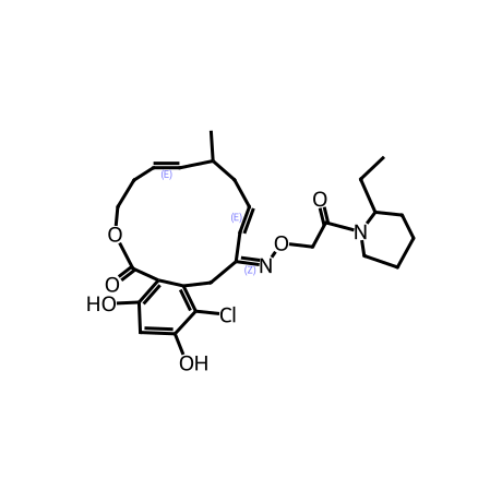 CCC1CCCCN1C(=O)CO/N=C1\C=C\CC(C)/C=C/CCOC(=O)c2c(O)cc(O)c(Cl)c2C1